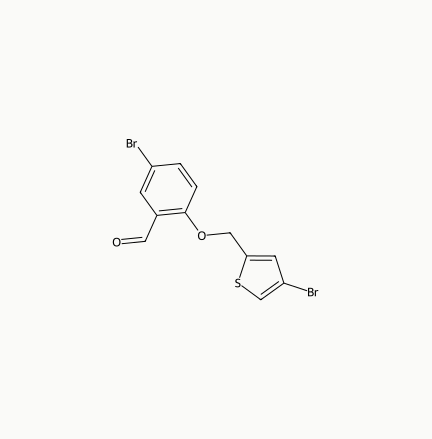 O=Cc1cc(Br)ccc1OCc1cc(Br)cs1